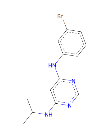 CC(C)Nc1cc(Nc2cccc(Br)c2)ncn1